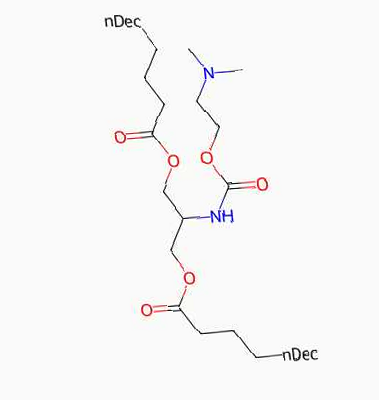 CCCCCCCCCCCCCC(=O)OCC(COC(=O)CCCCCCCCCCCCC)NC(=O)OCCN(C)C